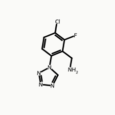 NCc1c(-n2cnnn2)ccc(Cl)c1F